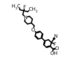 CCC(F)(CC)CN1CCC(COc2ccc(C3=CC=C(C(=O)O)C(F)(C#N)C3)cc2)CC1